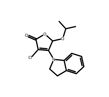 CC(C)OC1OC(=O)C(Cl)=C1N1CCc2ccccc21